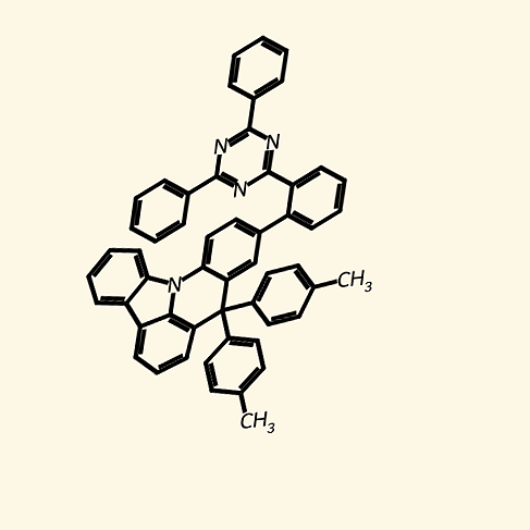 Cc1ccc(C2(c3ccc(C)cc3)c3cc(-c4ccccc4-c4nc(-c5ccccc5)nc(-c5ccccc5)n4)ccc3-n3c4ccccc4c4cccc2c43)cc1